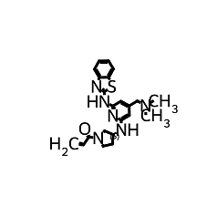 C=CC(=O)N1CC[C@H](Nc2cc(CN(C)C)cc(Nc3nc4ccccc4s3)n2)C1